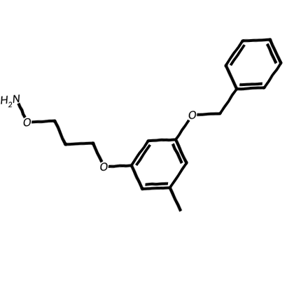 Cc1cc(OCCCON)cc(OCc2ccccc2)c1